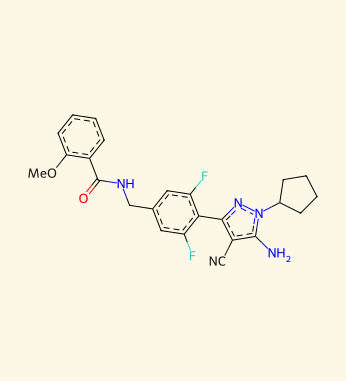 COc1ccccc1C(=O)NCc1cc(F)c(-c2nn(C3CCCC3)c(N)c2C#N)c(F)c1